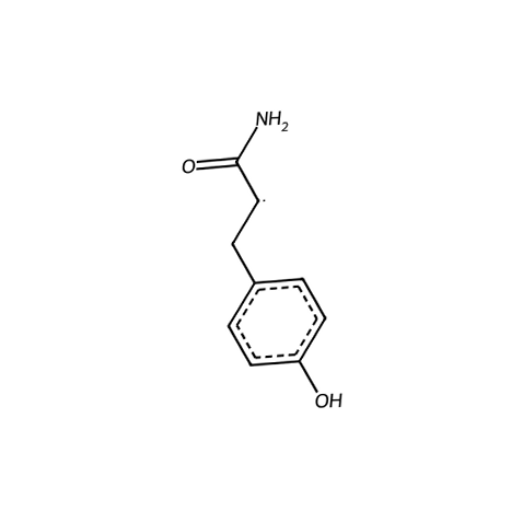 NC(=O)[CH]Cc1ccc(O)cc1